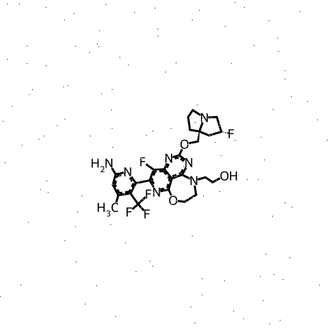 Cc1cc(N)nc(-c2nc3c4c(nc(OC[C@@]56CCCN5C[C@H](F)C6)nc4c2F)N(CCO)CCO3)c1C(F)(F)F